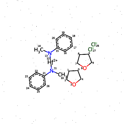 C1CCOC1.C1CCOC1.C[N]([Hf+2][N](C)c1ccccc1)c1ccccc1.[Cl-].[Cl-]